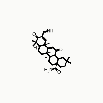 CC1(C)CC[C@]2(C(N)=O)CC[C@]3(C)C(C(=O)C=C4[C@@]5(C)C=C(C=N)C(=O)C(C)(C)[C@@H]5CC[C@]43C)C2C1